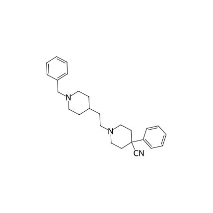 N#CC1(c2ccccc2)CCN(CCC2CCN(Cc3ccccc3)CC2)CC1